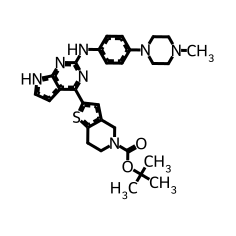 CN1CCN(c2ccc(Nc3nc(-c4cc5c(s4)CCN(C(=O)OC(C)(C)C)C5)c4cc[nH]c4n3)cc2)CC1